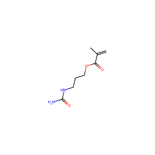 C=C(C)C(=O)OCCCNC(N)=O